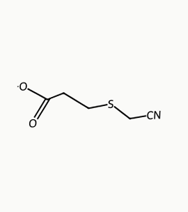 N#CCSCCC([O])=O